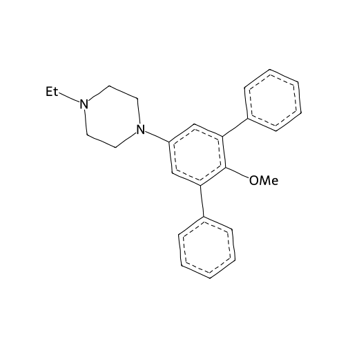 CCN1CCN(c2cc(-c3ccccc3)c(OC)c(-c3ccccc3)c2)CC1